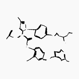 Cc1cc(Oc2ccc(NC(=O)N(OC(=O)C(F)(F)F)c3cc(C(C)(C)C)nn3-c3ccc(OCC(O)CO)cc3)c(F)c2)ccn1